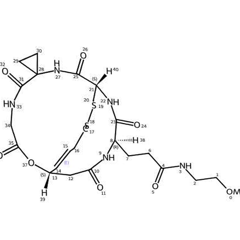 COCCNC(=O)CC[C@H]1NC(=O)C[C@H]2/C=C/CCSSC[C@@H](NC1=O)C(=O)NC1(CC1)C(=O)NCC(=O)O2